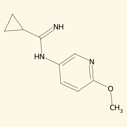 COc1ccc(NC(=N)C2CC2)cn1